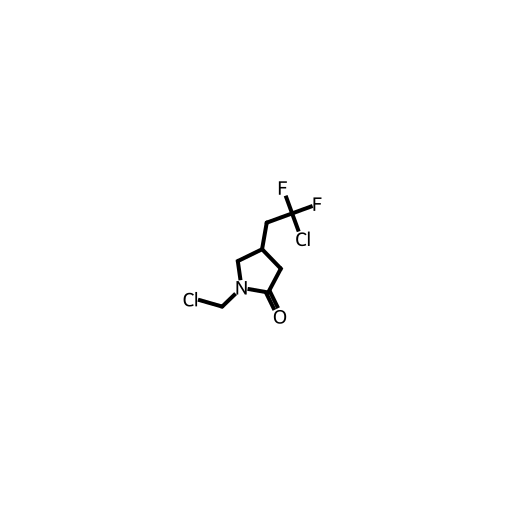 O=C1CC(CC(F)(F)Cl)CN1CCl